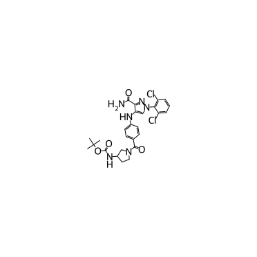 CC(C)(C)OC(=O)NC1CCN(C(=O)c2ccc(Nc3cn(-c4c(Cl)cccc4Cl)nc3C(N)=O)cc2)C1